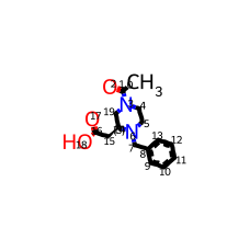 CC(=O)N1CCN(Cc2ccccc2)[C@@H](CC(=O)O)C1